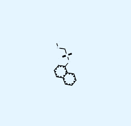 O=[C]NCS(=O)(=O)Nc1cccc2ccccc12